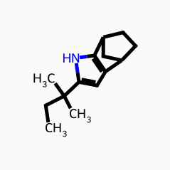 CCC(C)(C)c1cc2c([nH]1)C1CCC2C1